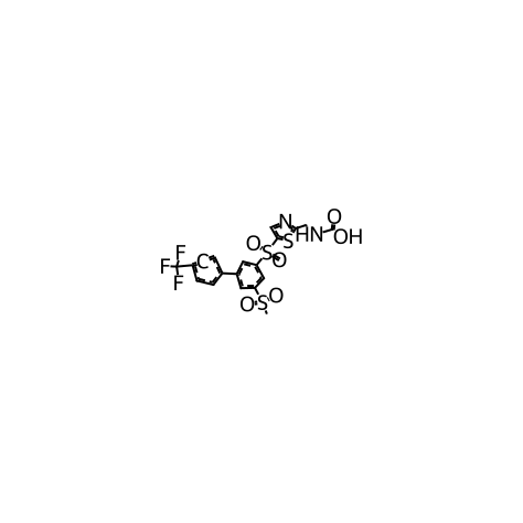 CS(=O)(=O)c1cc(-c2ccc(C(F)(F)F)cc2)cc(S(=O)(=O)c2cnc(CNC(=O)O)s2)c1